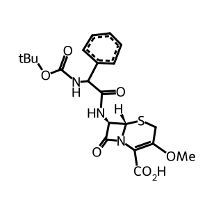 COC1=C(C(=O)O)N2C(=O)[C@@H](NC(=O)C(NC(=O)OC(C)(C)C)c3ccccc3)[C@@H]2SC1